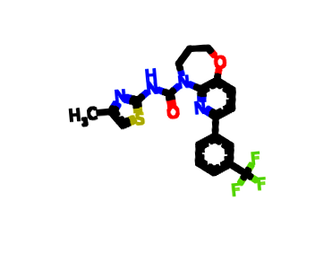 Cc1csc(NC(=O)N2CCCOc3ccc(-c4cccc(C(F)(F)F)c4)nc32)n1